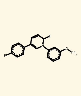 Fc1ccc(C2=CN(c3cccc(OC(F)(F)F)c3)C(F)C=C2)cc1